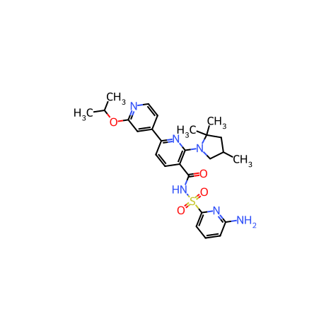 CC1CN(c2nc(-c3ccnc(OC(C)C)c3)ccc2C(=O)NS(=O)(=O)c2cccc(N)n2)C(C)(C)C1